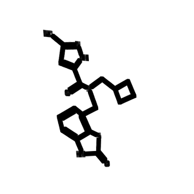 N#Cc1cc(C(=O)N(Cc2cccc3[nH]c(=O)sc23)CC2CCC2)[nH]n1